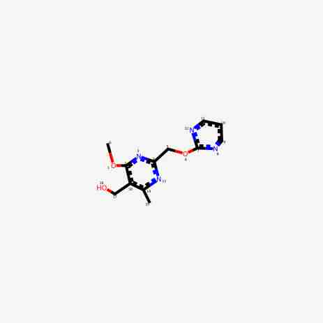 COc1nc(COc2ncccn2)nc(C)c1CO